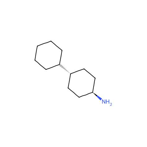 N[C@H]1CC[C@H](C2CCCCC2)CC1